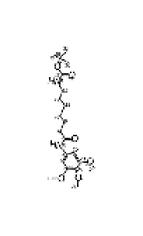 COc1cc(NC(=O)CCCCCCNC(=O)OC(C)(C)C)cc(OC)c1OC